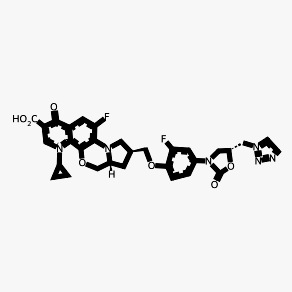 O=C(O)c1cn(C2CC2)c2c3c(c(F)cc2c1=O)N1C[C@@H](COc2ccc(N4C[C@H](Cn5ccnn5)OC4=O)cc2F)C[C@H]1CO3